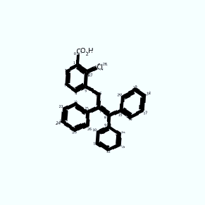 O=C(O)c1cccc(CC(=C(c2ccccc2)c2ccccc2)c2ccccc2)c1Cl